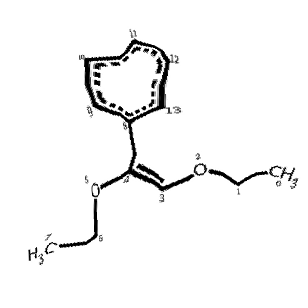 CCO/C=C(/OCC)c1ccccc1